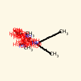 CCCCCCCCCCCCC/C=C/[C@@H](O)[C@H](CO[C@@H]1OC(CO)[C@@H](O[C@@H]2OC(CO)[C@H](O[C@@H]3OC(CO[C@]4(C(=O)O)CC(O)[C@@H](NC(C)=O)C([C@H](O)[C@H](O)CO)O4)[C@H](O)[C@H](O[C@@H]4OC(CO)[C@H](O)[C@H](O[C@]5(C(=O)O)CC(O)[C@@H](O)C([C@H](O)[C@H](O)CO)O5)C4O)C3NC(C)=O)[C@H](O)C2O)[C@H](O)C1O)NC(=O)CCCCCCCCCCCCCCCCCCCCCCC